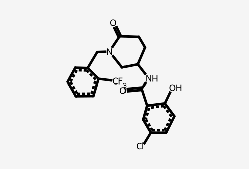 O=C(NC1CCC(=O)N(Cc2ccccc2C(F)(F)F)C1)c1cc(Cl)ccc1O